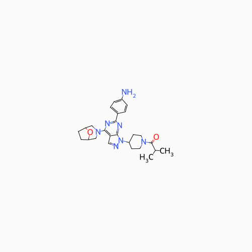 CC(C)C(=O)N1CCC(n2ncc3c(N4CC5CCC(C4)O5)nc(-c4ccc(N)cc4)nc32)CC1